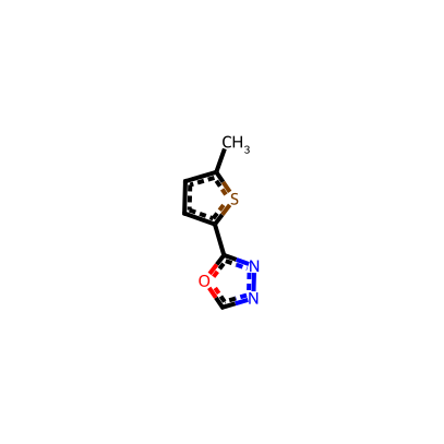 Cc1ccc(-c2nnco2)s1